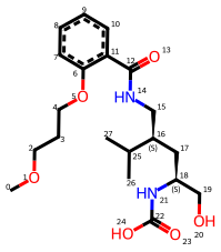 COCCCOc1ccccc1C(=O)NC[C@@H](C[C@@H](CO)NC(=O)O)C(C)C